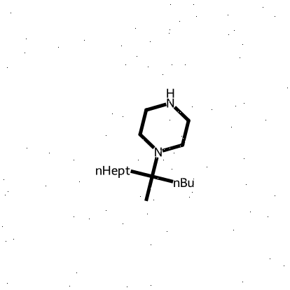 CCCCCCCC(C)(CCCC)N1CCNCC1